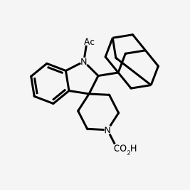 CC(=O)N1c2ccccc2C2(CCN(C(=O)O)CC2)C1C12CC3CC(CC(C3)C1)C2